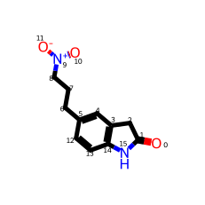 O=C1Cc2cc(CCC[N+](=O)[O-])ccc2N1